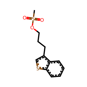 CS(=O)(=O)OCCCc1csc2ccccc12